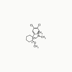 CO[C@H]1CCCC[C@]1(CN(C)C)c1ccc(Cl)c(Cl)c1